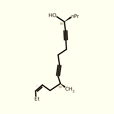 CC/C=C\C[C@H](C)C#CCCC#C[C@@H](O)CCC